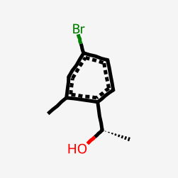 Cc1cc(Br)ccc1[C@H](C)O